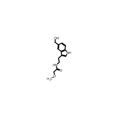 COCC(=O)NCCc1c[nH]c2ccc(CO)cc12